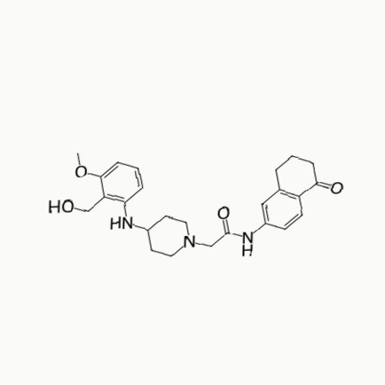 COc1cccc(NC2CCN(CC(=O)Nc3ccc4c(c3)CCCC4=O)CC2)c1CO